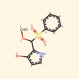 O=COC(c1[nH]ccc1Br)S(=O)(=O)c1ccccc1